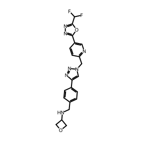 FC(F)c1nnc(-c2ccc(Cn3cc(-c4ccc(CNC5COC5)cc4)nn3)nc2)o1